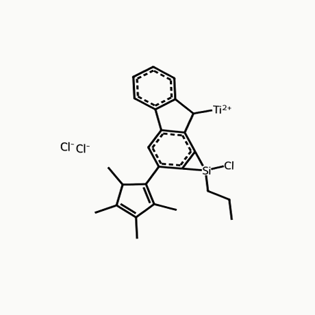 CCC[Si]1(Cl)c2c(C3=C(C)C(C)=C(C)C3C)cc3c(c21)[CH]([Ti+2])c1ccccc1-3.[Cl-].[Cl-]